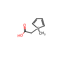 C[Si]1([CH]C(=O)O)C=CC=C1